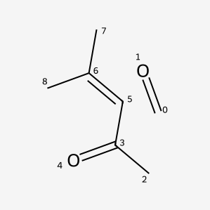 C=O.CC(=O)C=C(C)C